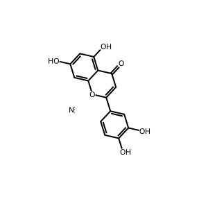 O=c1cc(-c2ccc(O)c(O)c2)oc2cc(O)cc(O)c12.[N]